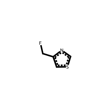 FCc1cscn1